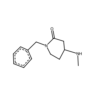 CNC1CCN(Cc2ccccc2)C(=O)C1